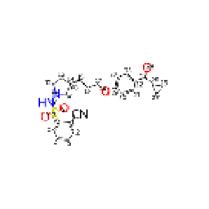 N#Cc1ccccc1S(=O)(=O)NN1CC[C@@H](CCCOc2ccc(C(=O)C3CC3)cc2)C1